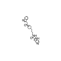 Cn1cc(CC(=O)N2CCC(CCCCNC(=O)c3cc4cnccc4[nH]3)CC2)c2ccccc21